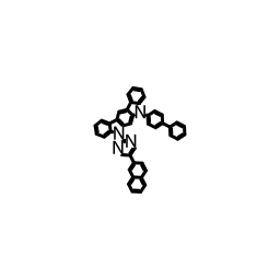 c1ccc(-c2ccc(-n3c4ccccc4c4cc5c6ccccc6n(-c6ncc(-c7ccc8ccccc8c7)cn6)c5cc43)cc2)cc1